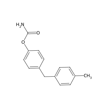 Cc1ccc(Cc2ccc(OC(N)=O)cc2)cc1